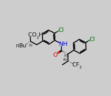 CCCC[C@@H](Cc1ccc(Cl)c(NC(=O)[C@H](c2ccc(Cl)cc2)[C@@H](C)C(F)(F)F)c1)C(=O)O